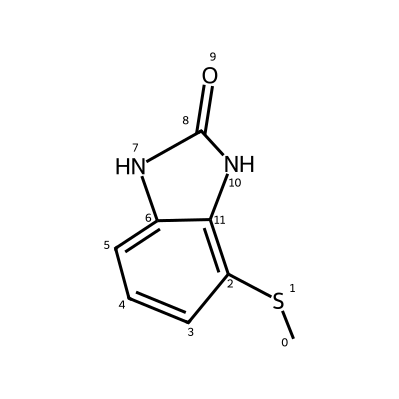 CSc1cccc2[nH]c(=O)[nH]c12